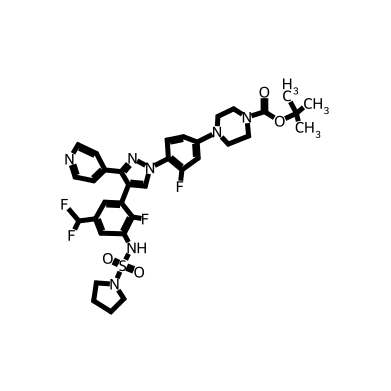 CC(C)(C)OC(=O)N1CCN(c2ccc(-n3cc(-c4cc(C(F)F)cc(NS(=O)(=O)N5CCCC5)c4F)c(-c4ccncc4)n3)c(F)c2)CC1